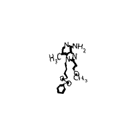 COCCc1nc2c(N)ncc(C)c2n1CCCCS(=O)(=O)c1ccccc1